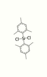 Cc1cc(C)c([Si](Cl)(Cl)c2c(C)cc(C)cc2C)c(C)c1